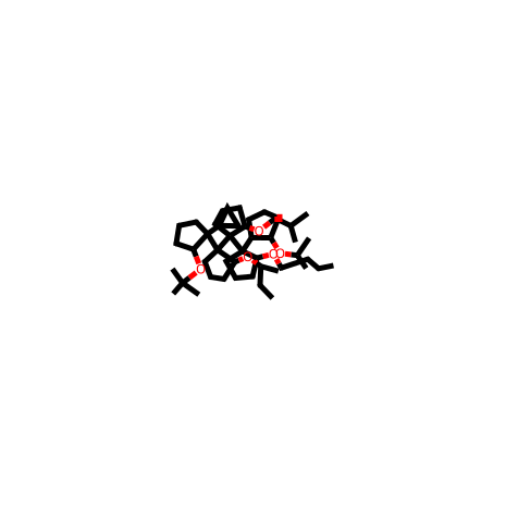 CCCCOC1CCCC1(C1CCCC1OC(C)C)C1(C2(C3([C]4CC4)CCCC3OC(C)(C)C)CCCC2OC(C)CC)CCCC1OCC(C)C